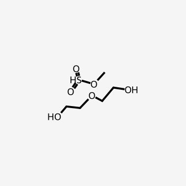 CO[SH](=O)=O.OCCOCCO